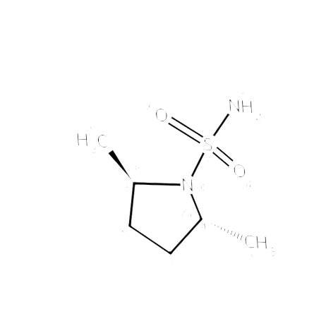 C[C@@H]1CC[C@@H](C)N1S(N)(=O)=O